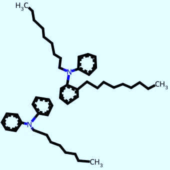 CCCCCCCCCc1ccccc1N(CCCCCCCCC)c1ccccc1.CCCCCCCCN(c1ccccc1)c1ccccc1